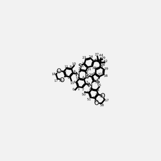 Cc1cc2c3c(c1)N(c1c(C)cc4c(c1C)OCCO4)c1sc4ccc(C(C)(C)C)cc4c1B3c1c(sc3ccc(C(C)(C)C)cc13)N2c1c(C)cc2c(c1C)OCCO2